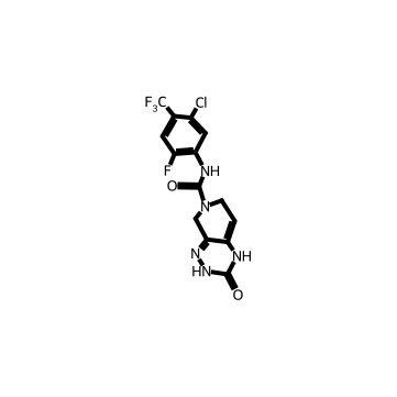 O=C1NN=C2CN(C(=O)Nc3cc(Cl)c(C(F)(F)F)cc3F)CC=C2N1